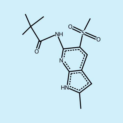 Cc1cc2cc(S(C)(=O)=O)c(NC(=O)C(C)(C)C)nc2[nH]1